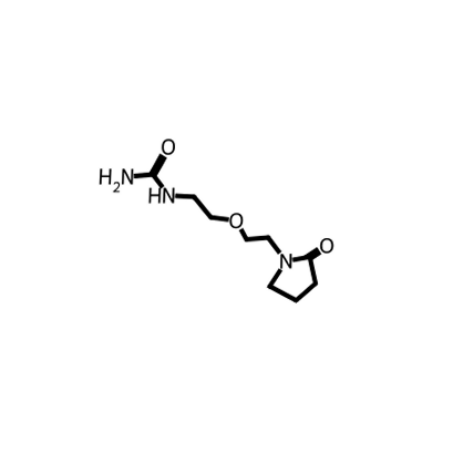 NC(=O)NCCOCCN1CCCC1=O